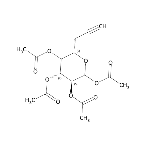 C#CC[C@@H]1OC(OC(C)=O)[C@@H](OC(C)=O)[C@H](OC(C)=O)C1OC(C)=O